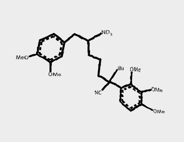 CCC(C)C(C#N)(CCCC(Cc1ccc(OC)c(OC)c1)[N+](=O)[O-])c1ccc(OC)c(OC)c1OC